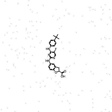 CC(C)(C)c1ccc(Nc2nc(Nc3ccc4c(c3)CC(C(=O)O)O4)ncc2F)cc1